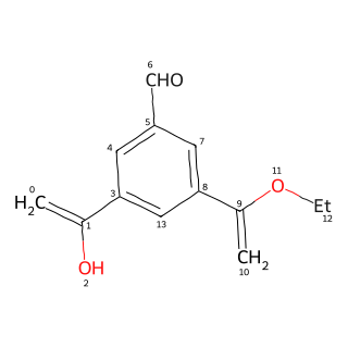 C=C(O)c1cc(C=O)cc(C(=C)OCC)c1